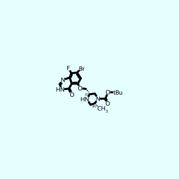 C[C@@H]1CN[C@H](COc2cc(Br)c(F)c3nc[nH]c(=O)c23)CN1C(=O)OC(C)(C)C